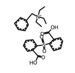 CC[N+](CC)(CC)Cc1ccccc1.O=C(O)c1ccccc1S(=O)(=O)c1ccccc1C(=O)O